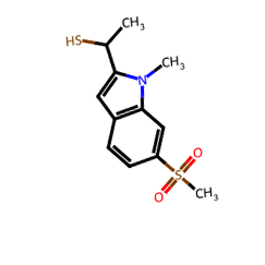 CC(S)c1cc2ccc(S(C)(=O)=O)cc2n1C